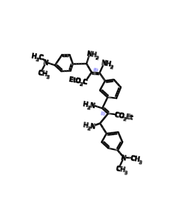 CCOC(=O)/C(=C(/N)c1cccc(/C(N)=C(\C(=O)OCC)C(N)c2ccc(N(C)C)cc2)c1)C(N)c1ccc(N(C)C)cc1